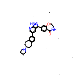 O=C1NCCOc2cc(-c3n[nH]c4ncc(-c5ccc6c(c5)CC[C@@H](N5CCCC5)CC6)cc34)ccc21